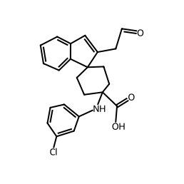 O=CCC1=Cc2ccccc2C12CCC(Nc1cccc(Cl)c1)(C(=O)O)CC2